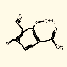 CSc1c(C(=O)O)ccc(Cl)c1C=O